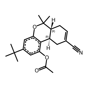 CC(=O)Oc1cc(C(C)(C)C)cc2c1[C@@H]1CC(C#N)=CC[C@H]1C(C)(C)O2